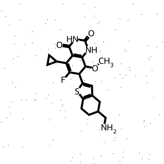 COC1c2[nH]c(=O)[nH]c(=O)c2C(C2CC2)=C(F)C1c1cc2c(s1)CCC(CN)C2